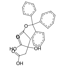 O=C(O)CC(O)(CC(=O)OC(c1ccccc1)(c1ccccc1)c1ccccc1)C(=O)O